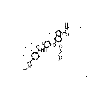 CCN1CC(c2ccc(C(=O)Nc3cc(Oc4cc5ccn(C(=O)NC)c5cc4OCCCOC)ccn3)cc2)C1